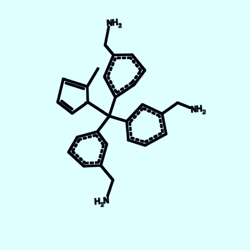 CC1=CC=C[C]1C(c1cccc(CN)c1)(c1cccc(CN)c1)c1cccc(CN)c1